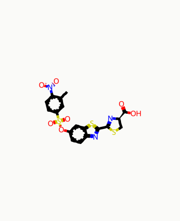 Cc1cc(S(=O)(=O)Oc2ccc3nc(C4=N[C@@H](C(=O)O)CS4)sc3c2)ccc1[N+](=O)[O-]